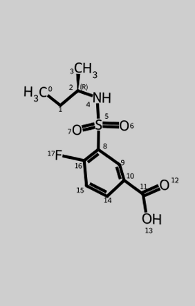 CC[C@@H](C)NS(=O)(=O)c1cc(C(=O)O)ccc1F